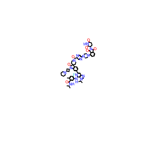 Cc1cc(F)c(Nc2nc(-c3ccc4c(c3)N([C@H]3C[C@@H](N5CCCCC5)C3)C(=O)C43CCN(C(=O)c4cnc(N5CCN(c6cccc7c6C(=O)N(C6CCC(=O)NC6=O)C7=O)CC5)cn4)CC3)cc3ncn(C(C)C)c23)cc1C(=O)NC(C)C